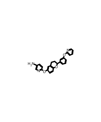 Nc1ccc(Oc2ccc3c(c2)CCC(c2cccc(Oc4ccccn4)c2)O3)nc1